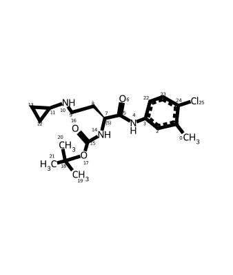 Cc1cc(NC(=O)[C@H](CCNC2CC2)NC(=O)OC(C)(C)C)ccc1Cl